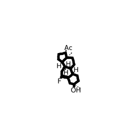 CC(=O)[C@H]1CC[C@H]2[C@@H]3CC(F)=C4C[C@](C)(O)CC[C@@H]4[C@H]3CC[C@]12C